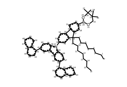 CCCCCCCCC1(CCCCCCCC)c2cc(B3OCC(C)(C)C(C)(C)O3)ccc2-c2ccc(-n3c4ccc(-c5cccc6ccccc56)cc4c4cc(-c5cccc6ccccc56)ccc43)cc21